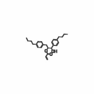 C=CC(=O)OC(Cc1ccc(CCCC)cc1)C(O)c1ccc(CCCC)cc1